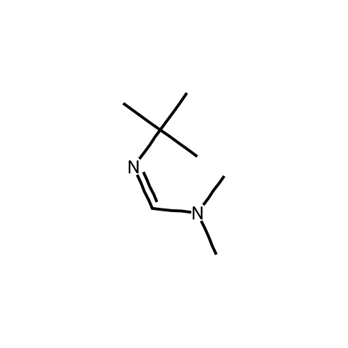 CN(C)/C=N\C(C)(C)C